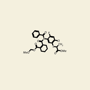 COCOC(=O)C1=C(C(=O)N(C(=O)c2ccccc2)c2cc(SC(C)C(=O)OC)c(Cl)cc2F)CCCC1